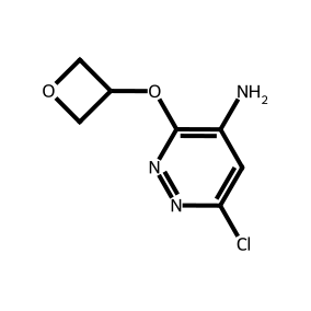 Nc1cc(Cl)nnc1OC1COC1